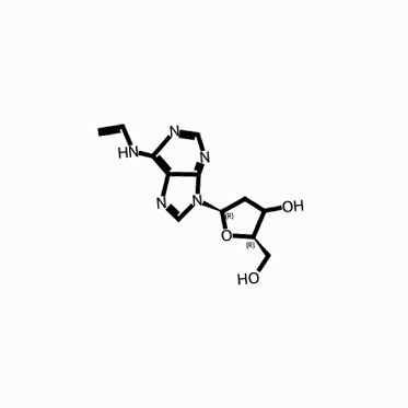 C=CNc1ncnc2c1ncn2[C@H]1CC(O)[C@@H](CO)O1